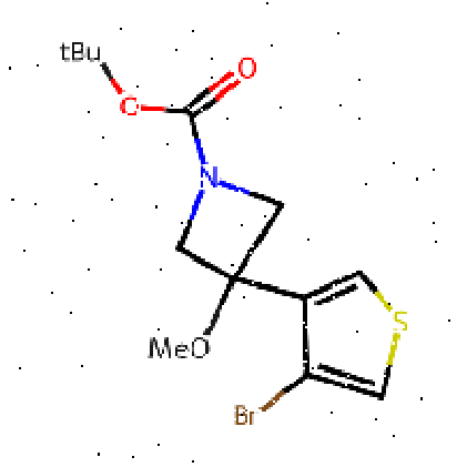 COC1(c2cscc2Br)CN(C(=O)OC(C)(C)C)C1